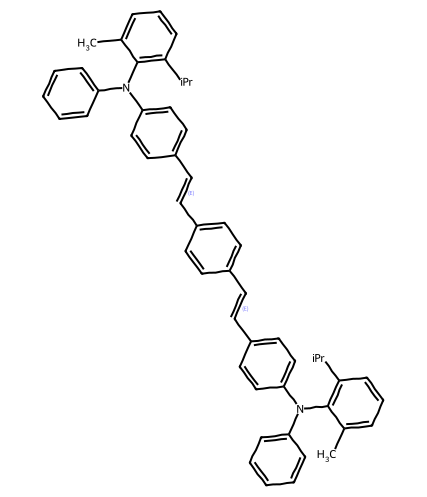 Cc1cccc(C(C)C)c1N(c1ccccc1)c1ccc(/C=C/c2ccc(/C=C/c3ccc(N(c4ccccc4)c4c(C)cccc4C(C)C)cc3)cc2)cc1